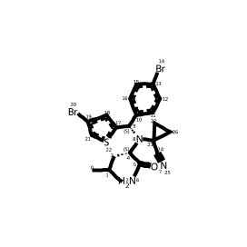 CC(C)C[C@@H](C(N)=O)N([C@@H](c1ccc(Br)cc1)c1cc(Br)cs1)C1(C#N)CC1